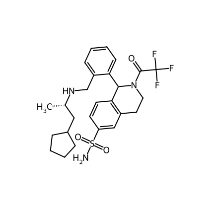 C[C@@H](CC1CCCC1)NCc1ccccc1C1c2ccc(S(N)(=O)=O)cc2CCN1C(=O)C(F)(F)F